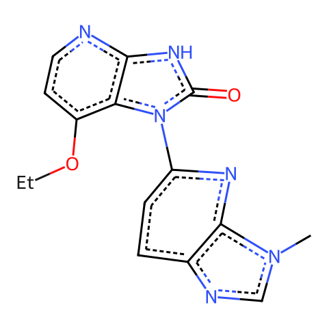 CCOc1ccnc2[nH]c(=O)n(-c3ccc4ncn(C)c4n3)c12